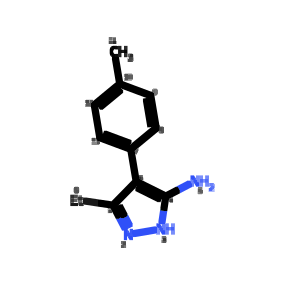 CCc1n[nH]c(N)c1-c1ccc(C)cc1